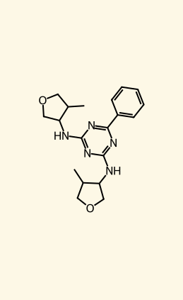 CC1COCC1Nc1nc(NC2COCC2C)nc(-c2ccccc2)n1